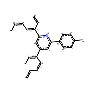 C=C/C=C\C(=C/C)c1cc(/C(C=C)=C/C=C\C)nc(-c2ccc(C)cc2)c1